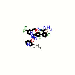 C[C@H]1CN2CCCC2(COc2nc3c4c(c(Cl)c(-c5ccc(F)c6sc(N)c(C#N)c56)c(F)c4n2)OCCC2CC(C(F)F)CCN32)C1